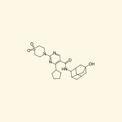 O=C(NC1C2CC3CC1CC(O)(C3)C2)c1cnc(N2CCS(=O)(=O)CC2)nc1C1CCCC1